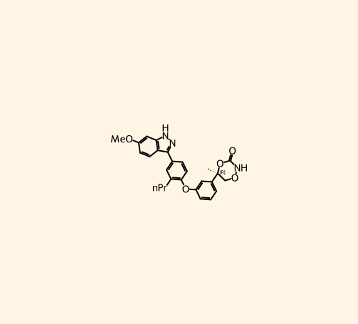 CCCc1cc(-c2n[nH]c3cc(OC)ccc23)ccc1Oc1cccc([C@]2(C)CONC(=O)O2)c1